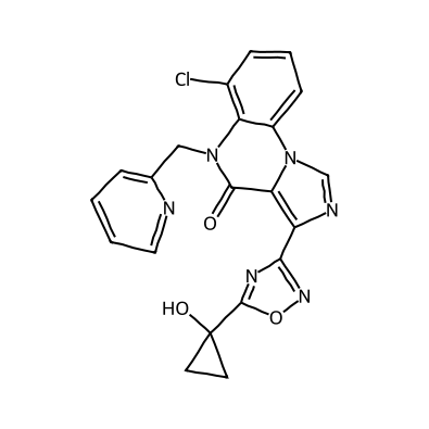 O=c1c2c(-c3noc(C4(O)CC4)n3)ncn2c2cccc(Cl)c2n1Cc1ccccn1